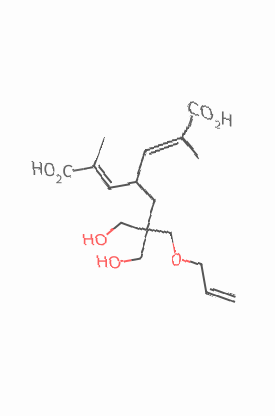 C=CCOCC(CO)(CO)CC(C=C(C)C(=O)O)C=C(C)C(=O)O